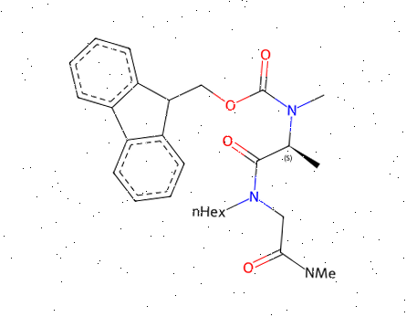 CCCCCCN(CC(=O)NC)C(=O)[C@H](C)N(C)C(=O)OCC1c2ccccc2-c2ccccc21